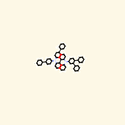 c1ccc(-c2ccc(N(c3ccc(-c4ccccc4)cc3)c3ccccc3-c3ccccc3N(c3ccccc3)c3ccc(-c4ccccc4)c(-c4ccccc4)c3)cc2)cc1